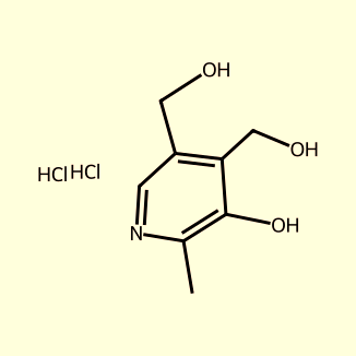 Cc1ncc(CO)c(CO)c1O.Cl.Cl